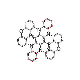 S=P12c3c4cccc3N(c3ccccc3)c3c5c6c(c(c31)N(c1ccccc1)c1cccc(c12)O4)N(c1ccccc1)c1cccc2c1P6(=S)c1c(cccc1N5c1ccccc1)O2